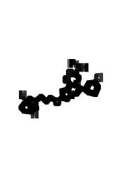 CC(C)NC(=O)Cn1c(-c2cccc(Cl)c2)cn2cc(OCCCN3C[C@@H]4CC[C@@H](C4)C3)cc2c1=O